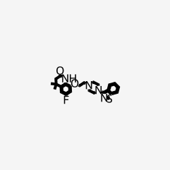 CC1(C)CC(=O)Nc2c(OCCN3CCN(c4nsc5ccccc45)CC3)cc(F)cc21